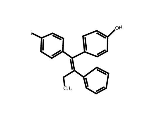 CCC(=C(c1ccc(O)cc1)c1ccc(I)cc1)c1ccccc1